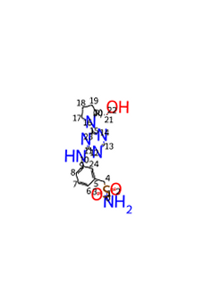 NS(=O)(=O)Cc1cccc(Nc2ncnc(N3CCC[C@@H]3CO)n2)c1